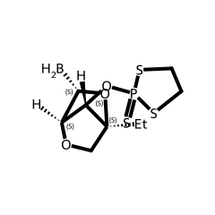 B[C@@H]1O[C@@]2(CC)CO[C@@H]1[C@@H]2OP1(=S)SCCS1